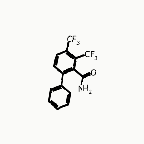 NC(=O)c1c(-c2ccccc2)ccc(C(F)(F)F)c1C(F)(F)F